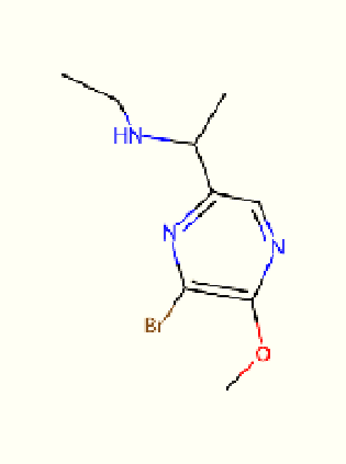 CCNC(C)c1cnc(OC)c(Br)n1